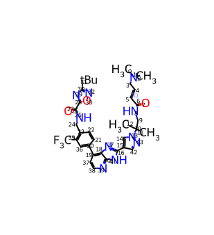 CN(C)C/C=C/C(=O)NCC(C)(C)n1cc(-c2nc3c(-c4ccc(CNC(=O)c5nc(C(C)(C)C)no5)c(C(F)(F)F)c4)ccnc3[nH]2)cn1